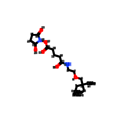 COCC(COC)(COCCNC(=O)CCCC(=O)ON1C(=O)CCC1=O)OC